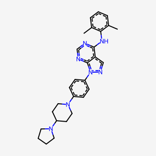 Cc1cccc(C)c1Nc1ncnc2c1cnn2-c1ccc(N2CCC(N3CCCC3)CC2)cc1